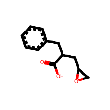 O=C(O)C(Cc1ccccc1)CC1CO1